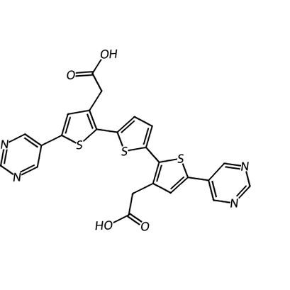 O=C(O)Cc1cc(-c2cncnc2)sc1-c1ccc(-c2sc(-c3cncnc3)cc2CC(=O)O)s1